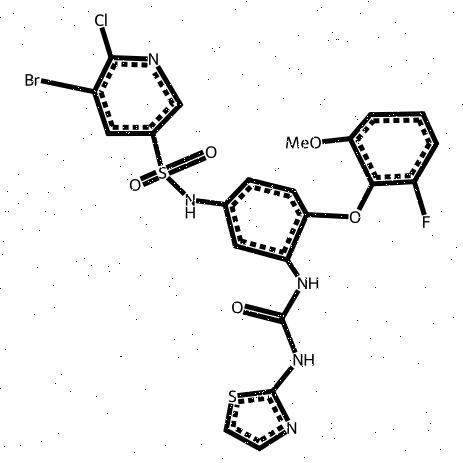 COc1cccc(F)c1Oc1ccc(NS(=O)(=O)c2cnc(Cl)c(Br)c2)cc1NC(=O)Nc1nccs1